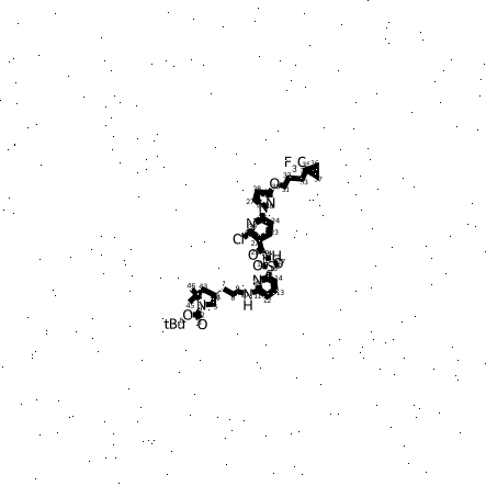 CC(C)(C)OC(=O)N1C[C@@H](CCCNc2cccc(S(=O)(=O)NC(=O)c3ccc(-n4ccc(OCCCC5(C(F)(F)F)CC5)n4)nc3Cl)n2)CC1(C)C